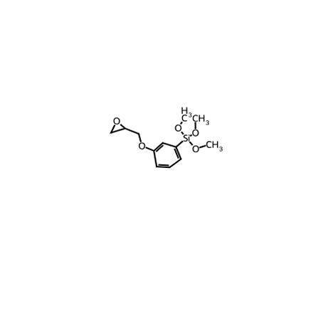 CO[Si](OC)(OC)c1cccc(OCC2CO2)c1